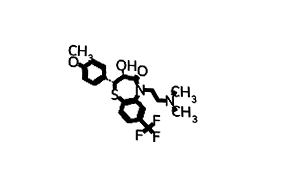 COc1ccc([C@H]2Sc3ccc(C(F)(F)F)cc3N(CCN(C)C)C(=O)[C@H]2O)cc1